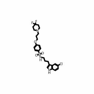 O=S(=O)(NCCCc1c[nH]c2ccc(Cl)cc12)c1ccc(OCCCN2CCC(F)(F)CC2)cc1